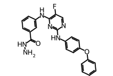 NNC(=O)c1cccc(Nc2nc(Nc3ccc(Oc4ccccc4)cc3)ncc2F)c1